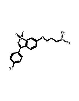 CCN(CC)CCCOc1ccc2c(c1)S(=O)(=O)N=C2c1ccc(Br)cc1